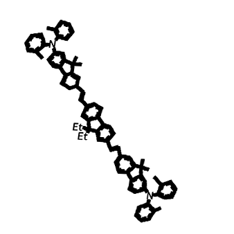 CCC1(CC)c2cc(/C=C/c3ccc4c(c3)C(C)(C)c3cc(N(c5ccccc5C)c5ccccc5C)ccc3-4)ccc2-c2ccc(/C=C/C3C=C4C(=CC3)c3ccc(N(c5ccccc5C)c5ccccc5C)cc3C4(C)C)cc21